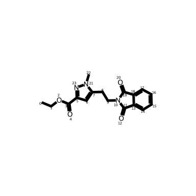 CCOC(=O)c1cc(CCN2C(=O)c3ccccc3C2=O)n(C)n1